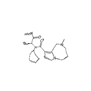 CNC(=O)[C@@H](N(C(=O)c1ncn2c1CN(C)CCC2)C1CC=CC1)C(C)(C)C